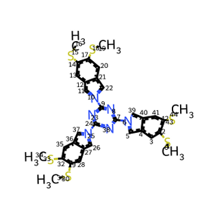 CSc1cc2cn(-c3nc(-n4cc5cc(SC)c(SC)cc5c4)nc(-n4cc5cc(SC)c(SC)cc5c4)n3)cc2cc1SC